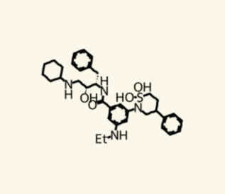 CCNc1cc(C(=O)N[C@@H](Cc2ccccc2)[C@H](O)CNC2CCCCC2)cc(N2CC(c3ccccc3)CCS2(O)O)c1